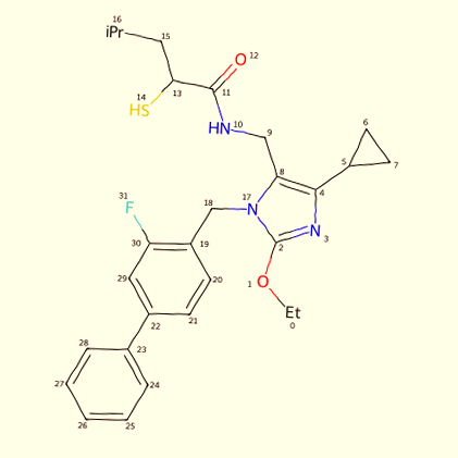 CCOc1nc(C2CC2)c(CNC(=O)C(S)CC(C)C)n1Cc1ccc(-c2ccccc2)cc1F